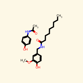 CC(=O)Nc1ccc(O)cc1.CCCCCCCCC(=O)NCc1ccc(O)c(OC)c1